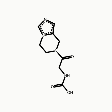 O=C(O)NCC(=O)N1CCn2cncc2C1